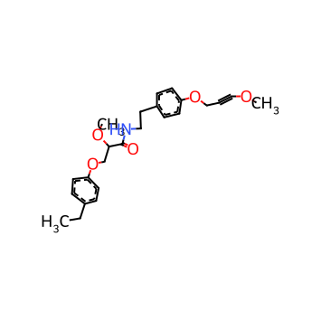 CCc1ccc(OCC(OC)C(=O)NCCc2ccc(OCC#COC)cc2)cc1